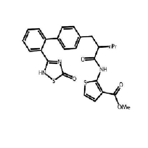 CCCC(Cc1ccc(-c2ccccc2-c2nc(=O)s[nH]2)cc1)C(=O)Nc1sccc1C(=O)OC